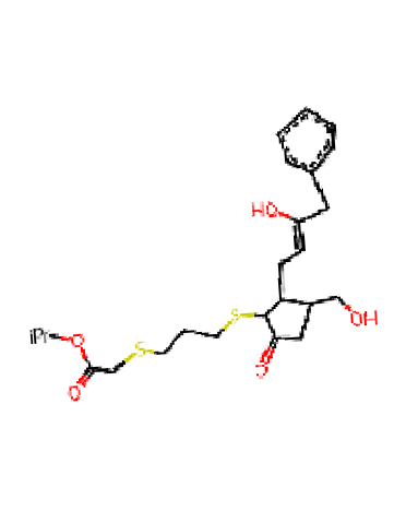 CC(C)OC(=O)CSCCCSC1C(=O)CC(CO)C1CC=C(O)Cc1ccccc1